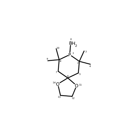 BP1C(C)(C)CC2(CC1(C)C)OCCO2